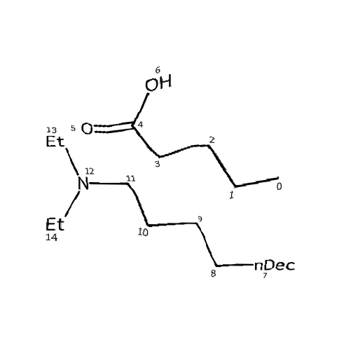 CCCCC(=O)O.CCCCCCCCCCCCCCN(CC)CC